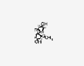 COc1cc(O)ccc1-c1ccc(O)cc1F